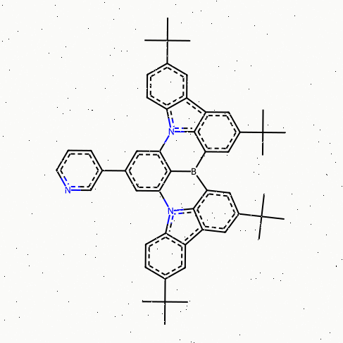 CC(C)(C)c1ccc2c(c1)c1cc(C(C)(C)C)cc3c1n2-c1cc(-c2cccnc2)cc2c1B3c1cc(C(C)(C)C)cc3c4cc(C(C)(C)C)ccc4n-2c13